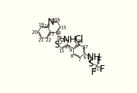 FC(F)(F)SNc1ccc(C2=CSC(c3ccnc4ccccc34)N2)c(Cl)c1